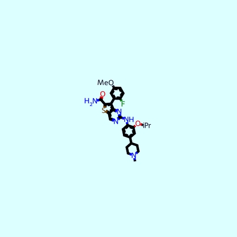 COc1ccc(F)c(-c2c(C(N)=O)sc3cnc(Nc4ccc(C5CCN(C)CC5)cc4OC(C)C)nc23)c1